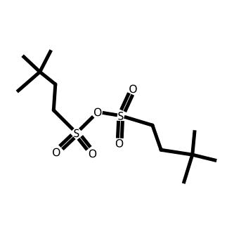 CC(C)(C)CCS(=O)(=O)OS(=O)(=O)CCC(C)(C)C